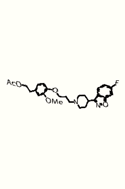 COc1cc(CCOC(C)=O)ccc1OCCCN1CCC(c2noc3cc(F)ccc23)CC1